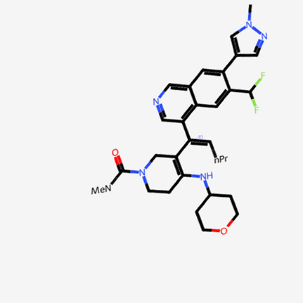 CCC/C=C(\C1=C(NC2CCOCC2)CCN(C(=O)NC)C1)c1cncc2cc(-c3cnn(C)c3)c(C(F)F)cc12